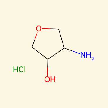 Cl.NC1COCC1O